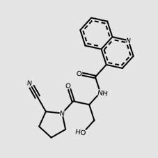 N#CC1CCCN1C(=O)C(CO)NC(=O)c1ccnc2ccccc12